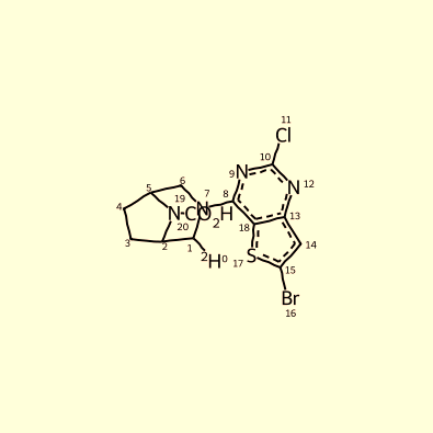 [2H]C1C2CCC(CN1c1nc(Cl)nc3cc(Br)sc13)N2C(=O)O